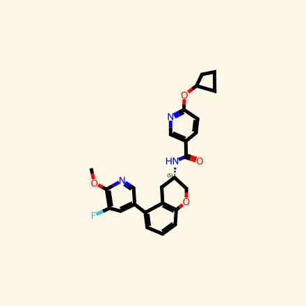 COc1ncc(-c2cccc3c2C[C@H](NC(=O)c2ccc(OC4CCC4)nc2)CO3)cc1F